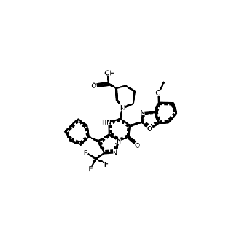 COc1cccc2oc(-c3c(N4CCCC(C(=O)O)C4)[nH]c4c(-c5ccccc5)c(C(F)(F)F)nn4c3=O)nc12